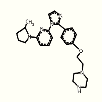 CC1CCCN1c1cccc(-n2ccnc2-c2ccc(OCCN3CCNCC3)cc2)n1